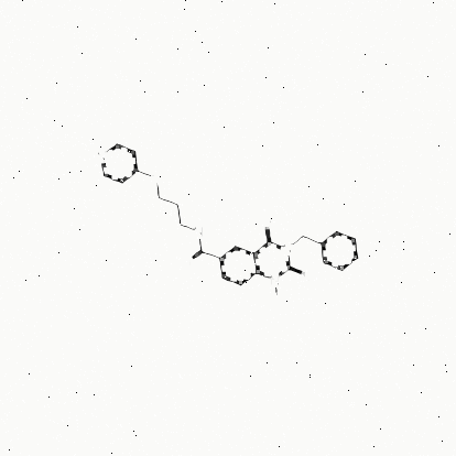 Cn1c(=O)n(Cc2ccccc2)c(=O)c2cc(C(=O)NCCCSc3ccncc3)ccc21